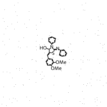 COc1ccc(/C=C2\S/C(=N\c3ccccc3)N(c3ccccc3)C2O)cc1OC